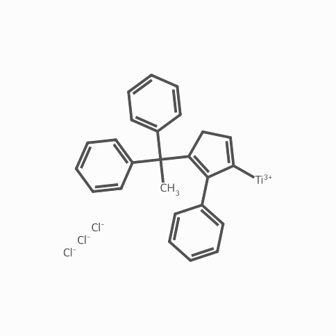 CC(C1=C(c2ccccc2)[C]([Ti+3])=CC1)(c1ccccc1)c1ccccc1.[Cl-].[Cl-].[Cl-]